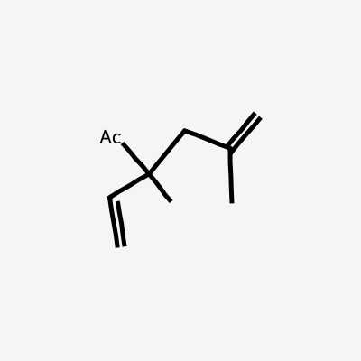 C=CC(C)(CC(=C)C)C(C)=O